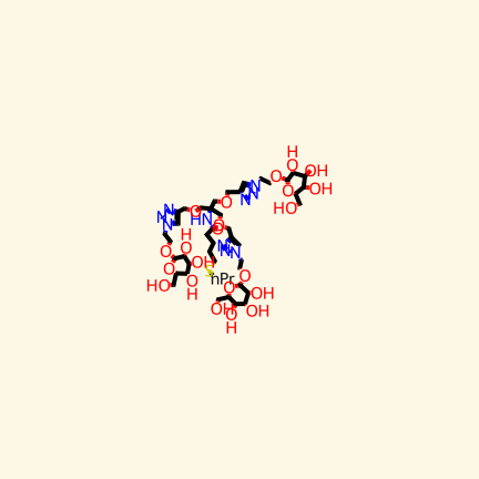 CCCSCCCCC(=O)NC(COCc1cn(CCOC2OC(CO)C(O)C(O)C2O)nn1)(COCc1cn(CCOC2OC(CO)C(O)C(O)C2O)nn1)COCc1cn(CCOC2OC(CO)C(O)C(O)C2O)nn1